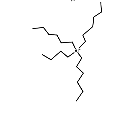 CCCCC[CH2][Al-]([CH2]CCC)([CH2]CCCCC)[CH2]CCCCC.[Li+]